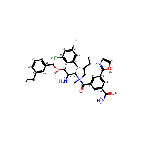 CCCC[N+](C)(C(=O)c1cc(C(N)=O)cc(-c2ncco2)c1)[C@@H](Cc1cc(F)cc(F)c1)C(N)COCc1cccc(CC)c1